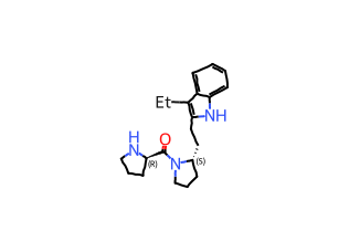 CCc1c(CC[C@@H]2CCCN2C(=O)[C@H]2CCCN2)[nH]c2ccccc12